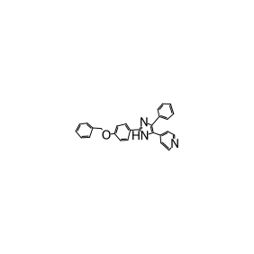 c1ccc(COc2ccc(-c3nc(-c4ccccc4)c(-c4ccncc4)[nH]3)cc2)cc1